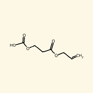 C=CCOC(=O)CCOC(=O)O